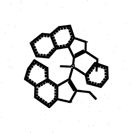 CCC1=C([Si](C)(C2=C(CC)[CH]c3ccc4ccccc4c32)c2ccccc2)c2c(ccc3ccccc23)[CH]1